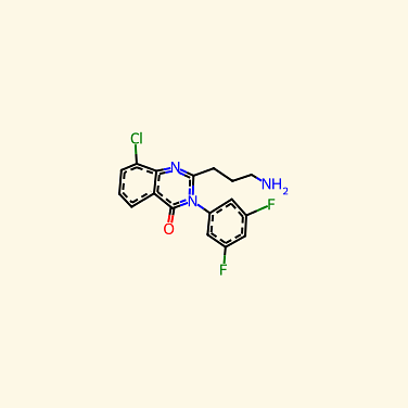 NCCCc1nc2c(Cl)cccc2c(=O)n1-c1cc(F)cc(F)c1